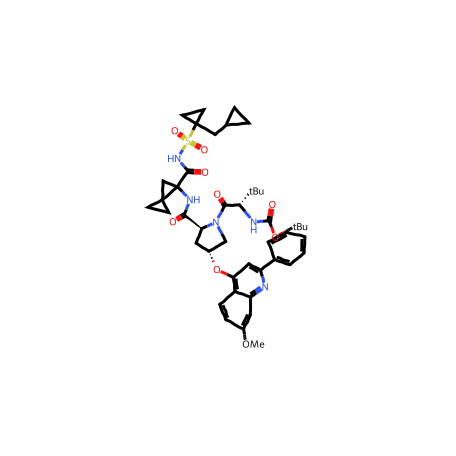 COc1ccc2c(O[C@@H]3C[C@@H](C(=O)NC4(C(=O)NS(=O)(=O)C5(CC6CC6)CC5)CC45CC5)N(C(=O)[C@@H](NC(=O)OC(C)(C)C)C(C)(C)C)C3)cc(-c3ccccc3)nc2c1